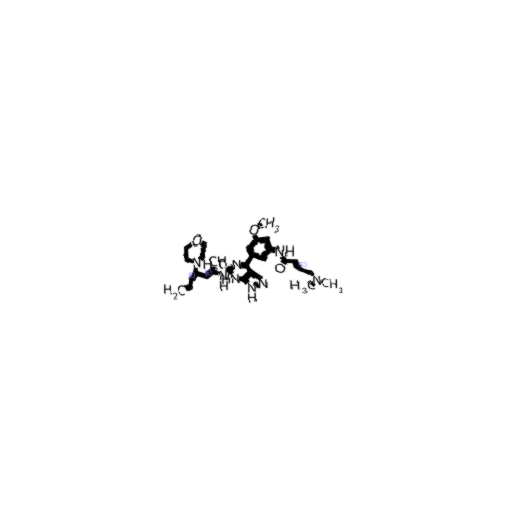 C=C/C=C(\C=C(/C)NC1(C)N=C(c2cc(NC(=O)/C=C/CN(C)C)cc(OC)c2)c2cn[nH]c2N1)N1CCOCC1